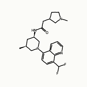 C[C@H]1C[C@@H](NC(=O)CC2CCN(C)C2)CN(c2ccc(C(F)F)c3ncccc23)C1